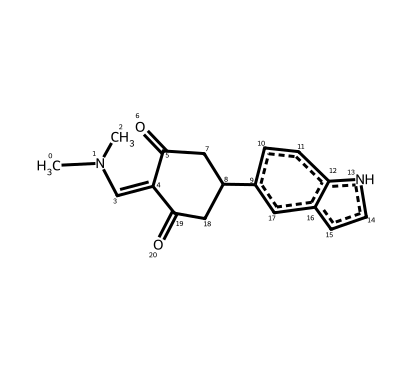 CN(C)C=C1C(=O)CC(c2ccc3[nH]ccc3c2)CC1=O